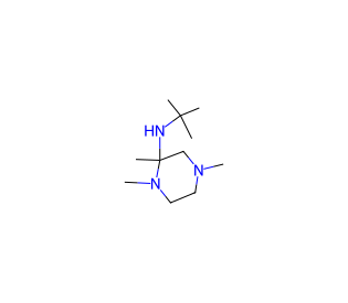 CN1CCN(C)C(C)(NC(C)(C)C)C1